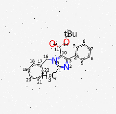 Cc1nc(-c2ccccc2)c(C(=O)OC(C)(C)C)n1Cc1ccccc1